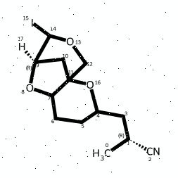 C[C@@H](C#N)CC1CCC2O[C@@H]3CC2(COC3I)O1